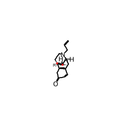 C=CCN1CC[C@]23CCCC[C@H]2[C@H]1CC1=C3CC(=O)C=C1